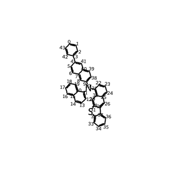 c1ccc(-c2ccc3cc(N(c4cccc5ccccc45)c4cccc5cc6c(cc45)sc4ccccc46)ccc3c2)cc1